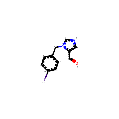 O=Cc1cncn1Cc1ccc(I)cc1